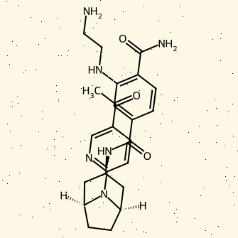 CC(=O)c1ccc(N2[C@@H]3CC[C@H]2C[C@@H](NC(=O)c2ccc(C(N)=O)c(NCCN)c2)C3)nc1